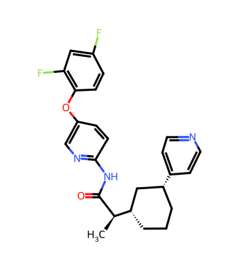 C[C@@H](C(=O)Nc1ccc(Oc2ccc(F)cc2F)cn1)[C@H]1CCC[C@@H](c2ccncc2)C1